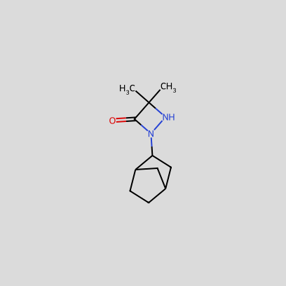 CC1(C)NN(C2CC3CCC2C3)C1=O